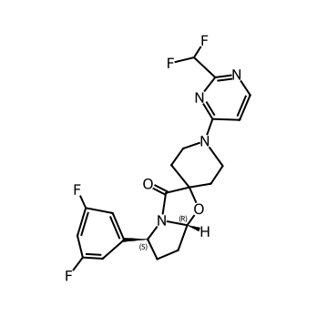 O=C1N2[C@@H](CC[C@H]2c2cc(F)cc(F)c2)OC12CCN(c1ccnc(C(F)F)n1)CC2